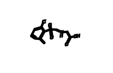 Cc1cccc(Cl)c1S(=O)(=O)CNCC(=O)O